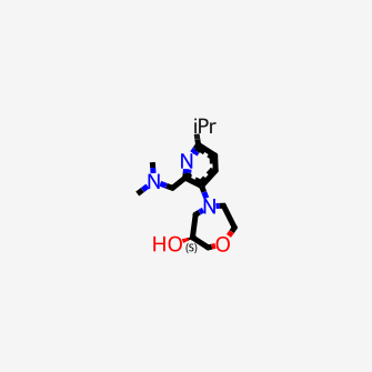 CC(C)c1ccc(N2CCOC[C@@H](O)C2)c(CN(C)C)n1